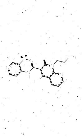 CC(C)(C)CCn1c(=O)c(C2=NS(=O)(=O)c3cnccc3N2)c(O)c2cccnc21